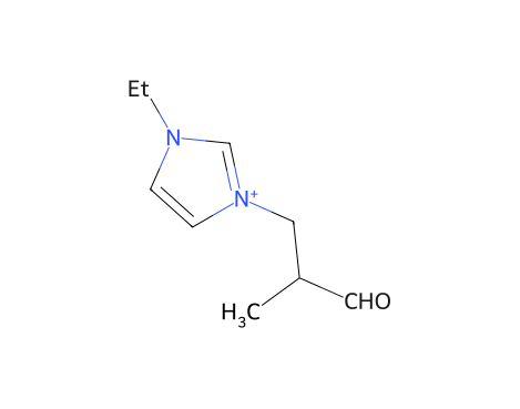 CCn1cc[n+](CC(C)C=O)c1